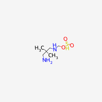 CC(C)(CN)CNCO[SH](=O)=O